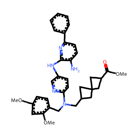 COC(=O)C1CC2(CC(CN(Cc3ccc(OC)cc3OC)c3ccc(Nc4nc(-c5ccccc5)ccc4N)cn3)C2)C1